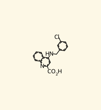 O=C(O)c1cc(NCc2cccc(Cl)c2)c2ccccc2n1